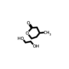 CC1CCOC(=O)C1.OCCO